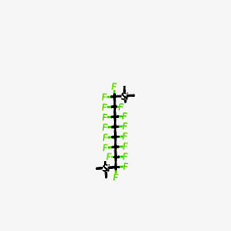 C[Si](C)(C)C(F)(F)C(F)(F)C(F)(F)C(F)(F)C(F)(F)C(F)(F)C(F)(F)C(F)(F)[Si](C)(C)C